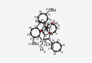 CC1=C(C)C[C]([Zr]([CH3])([CH3])(=[C](c2ccccc2)c2ccccc2)[c]2c(C(C)(C)C)ccc3c2Cc2cc(C(C)(C)C)ccc2-3)=C1